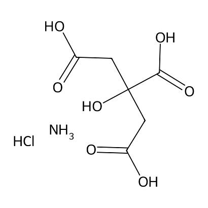 Cl.N.O=C(O)CC(O)(CC(=O)O)C(=O)O